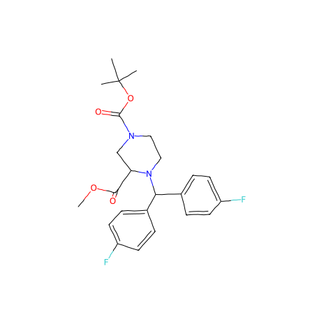 COC(=O)C1CN(C(=O)OC(C)(C)C)CCN1C(c1ccc(F)cc1)c1ccc(F)cc1